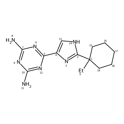 CCC1(c2nc(-c3nc(N)nc(N)n3)c[nH]2)CCCCC1